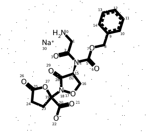 NCC(=O)N(C(=O)OCc1ccccc1)[C@H]1CON(C2(C(=O)[O-])CCC(=O)O2)C1=O.[Na+]